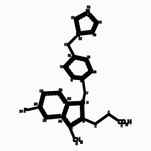 Cc1c(CCC(=O)O)n(Cc2ccc(Cn3ccnc3)cc2)c2ccc(F)cc12